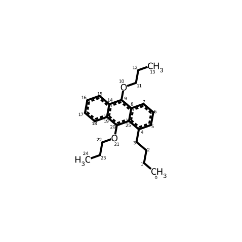 CCCCc1cccc2c(OCCC)c3ccccc3c(OCCC)c12